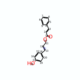 O=C(C=Cc1ccccc1)OC/C=C/c1ccc(O)cc1